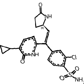 NS(=O)(=O)c1ccc(C(=C[C@H]2CCC(=O)N2)c2ccc(C3CC3)c(=O)[nH]2)cc1Cl